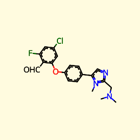 CN(C)Cc1ncc(-c2ccc(Oc3cc(Cl)cc(F)c3C=O)cc2)n1C